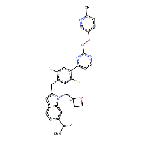 COC(=O)c1ccc2cc(Cc3cc(F)c(-c4ccnc(OCc5ccc(C#N)nc5)n4)cc3F)n(C[C@@H]3CCO3)c2c1